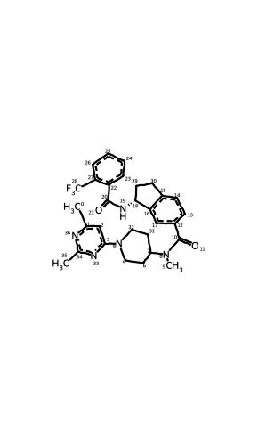 Cc1cc(N2CCC(N(C)C(=O)c3ccc4c(c3)[C@H](NC(=O)c3ccccc3C(F)(F)F)CC4)CC2)nc(C)n1